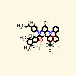 CCC(C)c1ccc(N2c3cc(C)cc4c3B(c3cc(C(C)(C)C)ccc3N4c3ccccc3-c3ccccc3)c3oc4cc5c(cc4c32)C(C)(C)CCC5(C)C)cc1